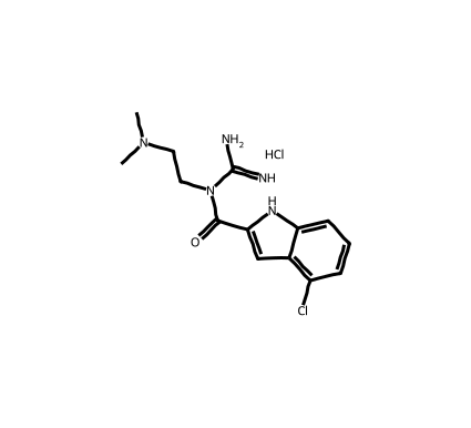 CN(C)CCN(C(=N)N)C(=O)c1cc2c(Cl)cccc2[nH]1.Cl